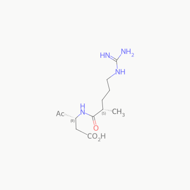 CC(=O)[C@@H](CC(=O)O)NC(=O)[C@@H](C)CCCNC(=N)N